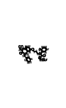 CCCCOC(=O)N(CCCOc1ccc2c(c1)CN(Cc1ccccc1)C(=O)C(CC(=O)O)C2)c1ccccn1